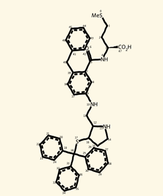 CSCC[C@H](NC(=O)c1cc(NCC2NCCC2SC(c2ccccc2)(c2ccccc2)c2ccccc2)ccc1Cc1ccccc1)C(=O)O